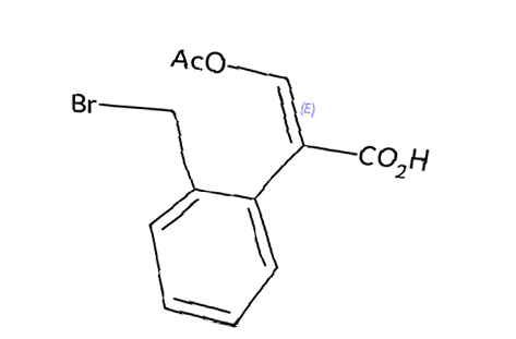 CC(=O)O/C=C(/C(=O)O)c1ccccc1CBr